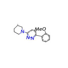 COc1ccccc1-c1ccc(N2C[CH]CCC2)nn1